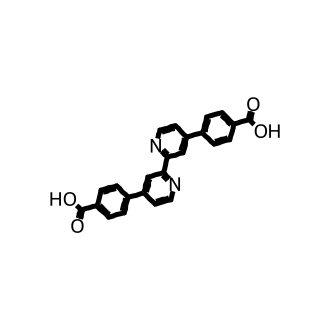 O=C(O)c1ccc(-c2ccnc(-c3cc(-c4ccc(C(=O)O)cc4)ccn3)c2)cc1